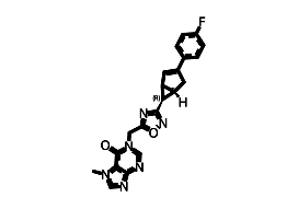 Cn1cnc2ncn(Cc3nc([C@H]4C5C=C(c6ccc(F)cc6)C[C@@H]54)no3)c(=O)c21